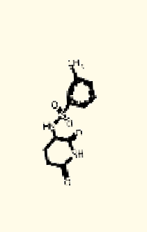 Cc1cccc(S(=O)(=O)NC2CCC(=O)NC2=O)c1